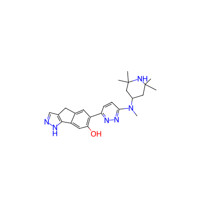 CN(c1ccc(-c2cc3c(cc2O)-c2[nH]ncc2C3)nn1)C1CC(C)(C)NC(C)(C)C1